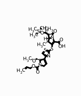 C=CCOC(=O)N1CC=C(c2csc(SC3=C(C(=O)O)N4C(=O)[C@H]([C@@H](C)O[Si](C)(C)C)[C@H]4[C@H]3C)n2)[C@@H]1COC